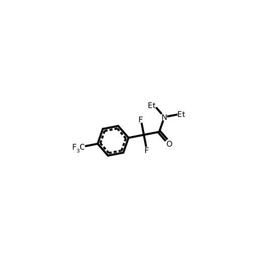 CCN(CC)C(=O)C(F)(F)c1ccc(C(F)(F)F)cc1